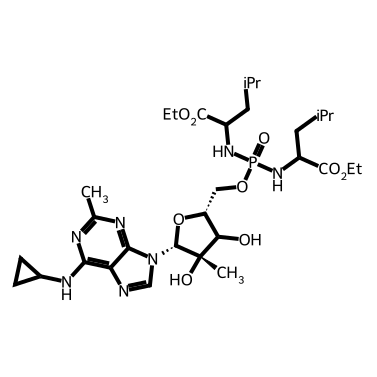 CCOC(=O)C(CC(C)C)NP(=O)(NC(CC(C)C)C(=O)OCC)OC[C@H]1O[C@@H](n2cnc3c(NC4CC4)nc(C)nc32)[C@@](C)(O)C1O